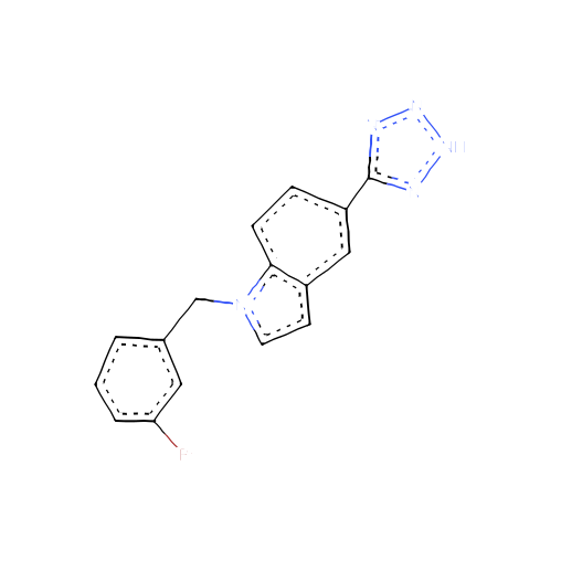 Brc1cccc(Cn2ccc3cc(-c4nn[nH]n4)ccc32)c1